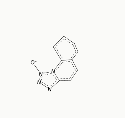 [O-][n+]1nnc2ccc3ccccc3n21